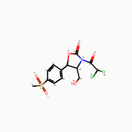 CS(=O)(=O)c1ccc(C2OC(=O)N(C(=O)C(Cl)Cl)C2CO)cc1